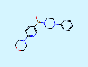 [O-][S+](c1ccc(N2CCOCC2)nc1)N1CCN(c2ccccc2)CC1